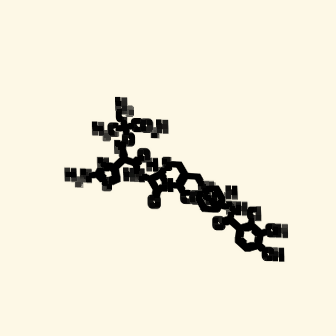 CC(C)(O/N=C(\C(=O)N[C@@H]1C(=O)N2C(C(=O)O)=C(C[N+]34CCC(CC3)[C@H](NC(=O)c3ccc(O)c(O)c3Cl)C4)CS[C@H]12)c1csc(N)n1)C(=O)O